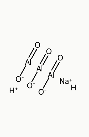 [H+].[H+].[Na+].[O]=[Al][O-].[O]=[Al][O-].[O]=[Al][O-]